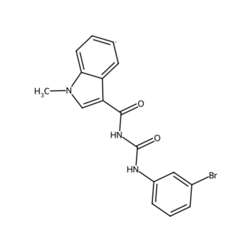 Cn1cc(C(=O)NC(=O)Nc2cccc(Br)c2)c2c[c]ccc21